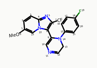 COc1ccc2nc(C(F)(F)F)c(C3=CN=CCN3c3ccc(F)cc3)n2c1